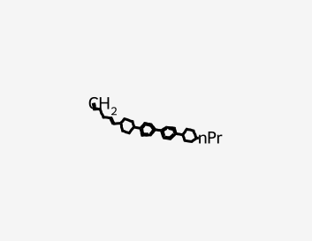 C=CCCC=CC1CCC(c2ccc(-c3ccc(C4CCC(CCC)CC4)cc3)cc2)CC1